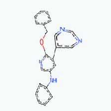 c1ccc(COc2ncc(Nc3ccccc3)cc2-c2cncnc2)cc1